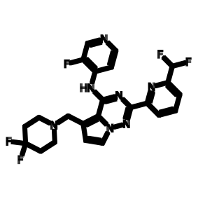 Fc1cnccc1Nc1nc(-c2cccc(C(F)F)n2)nn2ccc(CN3CCC(F)(F)CC3)c12